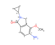 COc1c(N)ccc2c1CN(C1CC1)C2=O